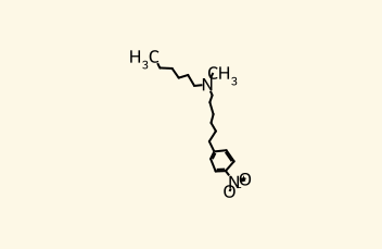 CCCCCCN(C)CCCCCCc1ccc([N+](=O)[O-])cc1